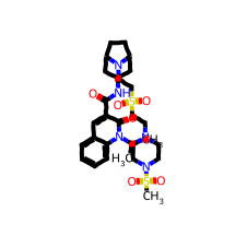 CC(C)n1c(=O)c(C(=O)NC2CC3CCC(C2)N3CCS(=O)(=O)CCN2CCN(S(C)(=O)=O)CC2)cc2ccccc21